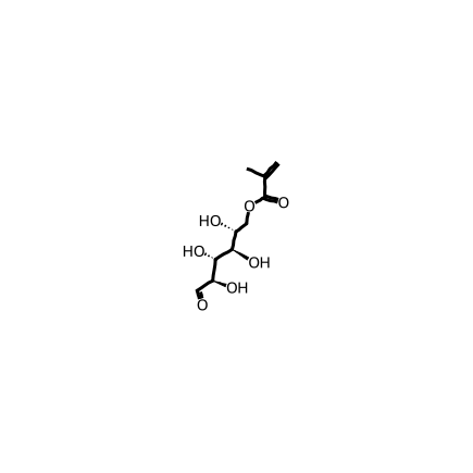 C=C(C)C(=O)OC[C@@H](O)[C@@H](O)[C@@H](O)[C@@H](O)C=O